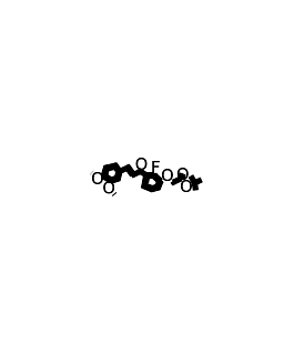 COc1ccc(/C=C/C(=O)c2cccc(OCC(=O)OC(C)(C)C)c2F)cc1OC